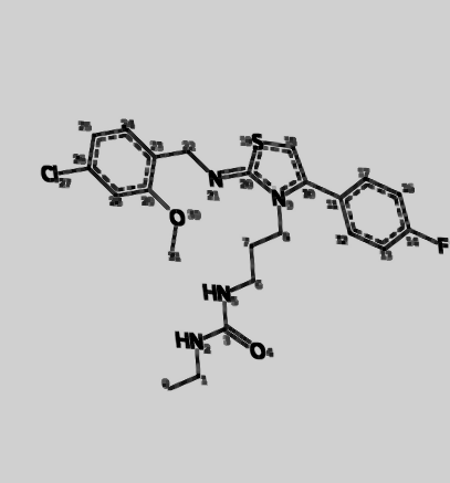 CCNC(=O)NCCCn1c(-c2ccc(F)cc2)csc1=NCc1ccc(Cl)cc1OC